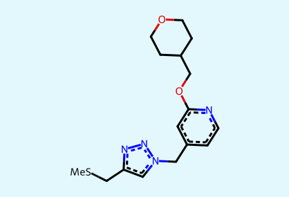 CSCc1cn(Cc2ccnc(OCC3CCOCC3)c2)nn1